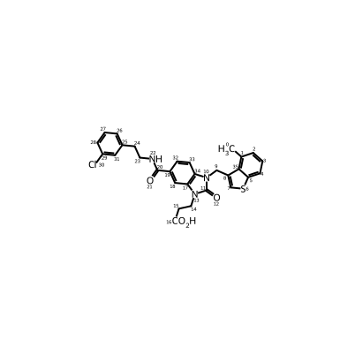 Cc1cccc2scc(Cn3c(=O)n(CCC(=O)O)c4cc(C(=O)NCCc5cccc(Cl)c5)ccc43)c12